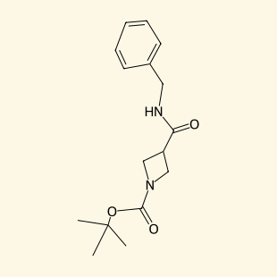 CC(C)(C)OC(=O)N1CC(C(=O)NCc2ccccc2)C1